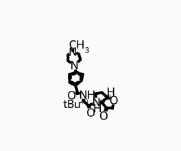 CN1CCN(c2ccc(C(=O)N[C@H](C(=O)N3CC[C@H]4OCC(=O)[C@H]43)C(C)(C)C)cc2)CC1